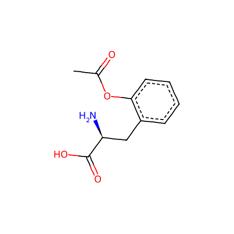 CC(=O)Oc1ccccc1C[C@H](N)C(=O)O